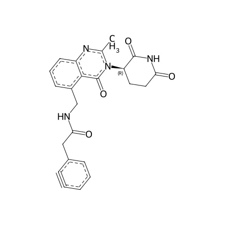 Cc1nc2cccc(CNC(=O)Cc3c#cccc3)c2c(=O)n1[C@@H]1CCC(=O)NC1=O